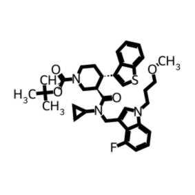 COCCCn1cc(CN(C(=O)[C@H]2CN(C(=O)OC(C)(C)C)CC[C@@H]2c2csc3ccccc23)C2CC2)c2c(F)cccc21